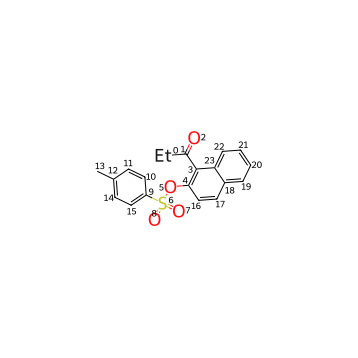 CCC(=O)c1c(OS(=O)(=O)c2ccc(C)cc2)ccc2ccccc12